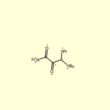 CCCCC(CCC)C(=O)C(N)=O